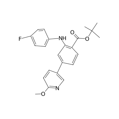 COc1ccc(-c2ccc(C(=O)OC(C)(C)C)c(Nc3ccc(F)cc3)c2)cn1